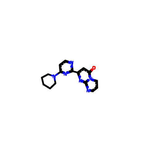 O=c1cc(-c2nccc(N3CCCCC3)n2)nc2ncccn12